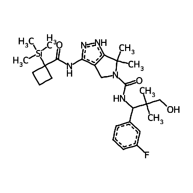 CC(C)(CO)C(NC(=O)N1Cc2c(NC(=O)C3([Si](C)(C)C)CCC3)n[nH]c2C1(C)C)c1cccc(F)c1